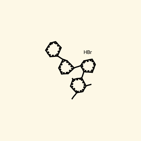 Br.Cc1cc(C)c(-c2ccccc2-c2cccc(-c3ccccc3)c2)c(C)c1